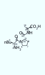 CCCC[C@H](N)C(=O)N1CCC[C@H]1C(=O)N[C@@H](C)C(=O)O